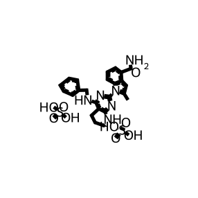 Cc1cc2c(C(N)=O)cccc2n1-c1nc2c(c(NCc3ccccc3)n1)CCCN2.O=S(=O)(O)O.O=S(=O)(O)O